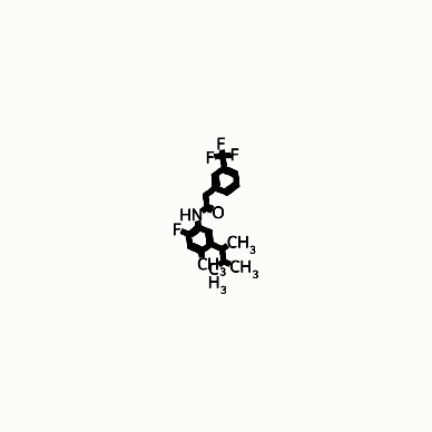 Cc1cc(F)c(NC(=O)Cc2cccc(C(F)(F)F)c2)cc1C(C)C(C)C